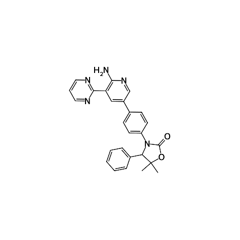 CC1(C)OC(=O)N(c2ccc(-c3cnc(N)c(-c4ncccn4)c3)cc2)C1c1ccccc1